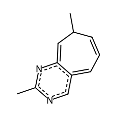 Cc1ncc2c(n1)=CC(C)C=CC=2